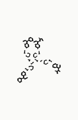 COc1ccccc1-c1ccnc2cc(O[C@H](C)C(=O)N3CCC[C@@H](C(OC(=O)C[C@H]4CCCN(C(=O)[C@@H](C)Oc5ccc6c(-c7ccccc7C(F)(F)F)ccnc6c5)C4)C(=O)OC(C(=O)OC(=O)C[C@H]4CCCN(C(=O)[C@@H](C)Oc5ccc6c(-c7cscc7C)ccnc6c5)C4)[C@@H]4CCCN(C(=O)[C@@H](C)Oc5ccc6c(-c7sccc7C)ccnc6c5)C4)C3)ccc12